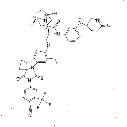 CCc1cc(N2C(=S)N(c3cnc(C#N)c(C(F)(F)F)c3)C(=O)C23CCC3)ccc1OCC[C@@H]1C[C@H]2CC[C@@H](C1)N2CC(=O)Nc1cccc(NC2CCC(=O)NC2)c1